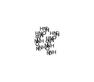 c1cc(-c2nc3ccc(C4=NCCCN4)cc3[nH]2)nc(-c2nc3ccc(C4=NCCCN4)cc3[nH]2)c1.c1cc(-c2nc3ccc(C4=NCCCN4)cc3[nH]2)nc(-c2nc3ccc(C4=NCCCN4)cc3[nH]2)c1